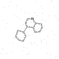 [c]1ccc2c(-c3ccccc3)ccnc2c1